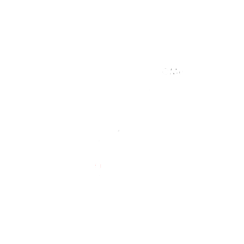 COc1ccc2c(c1)C(C)(C)CC2=O